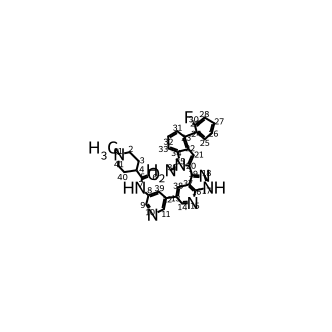 CN1CCC(C(=O)Nc2cncc(-c3cnc4[nH]nc(-c5cc6c(-c7ccccc7F)cccc6n5N)c4c3)c2)CC1